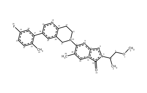 COCC(C)n1nc2nc(N3CCc4ncc(-c5cc(F)ccc5C)cc4C3)c(C)cn2c1=O